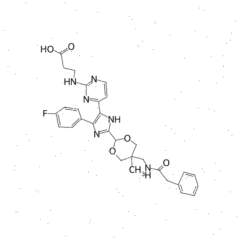 CC1(CNC(=O)Cc2ccccc2)COC(c2nc(-c3ccc(F)cc3)c(-c3ccnc(NCCC(=O)O)n3)[nH]2)OC1